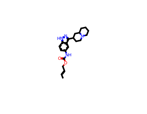 C/C=C/COC(=O)Nc1ccc2[nH]nc(C3CCN4CCCCC4C3)c2c1